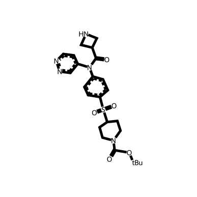 CC(C)(C)OC(=O)N1CCC(S(=O)(=O)c2ccc(N(C(=O)C3CNC3)c3ccnnc3)cc2)CC1